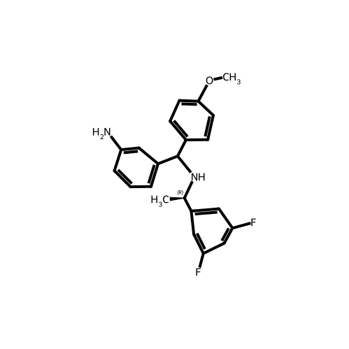 COc1ccc(C(N[C@H](C)c2cc(F)cc(F)c2)c2cccc(N)c2)cc1